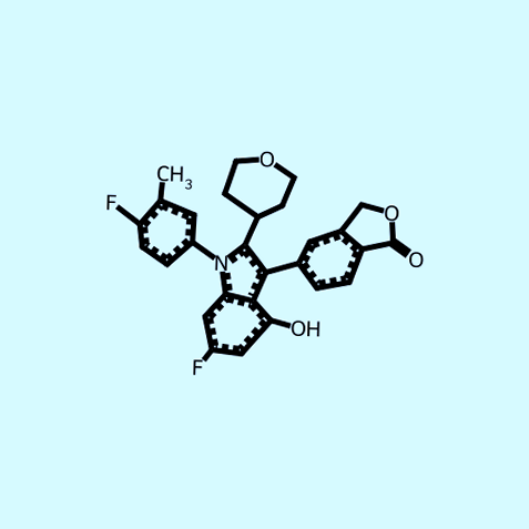 Cc1cc(-n2c(C3CCOCC3)c(-c3ccc4c(c3)COC4=O)c3c(O)cc(F)cc32)ccc1F